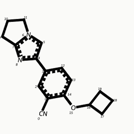 N#Cc1cc(-c2cn3c(n2)CCC3)ccc1OC1CCC1